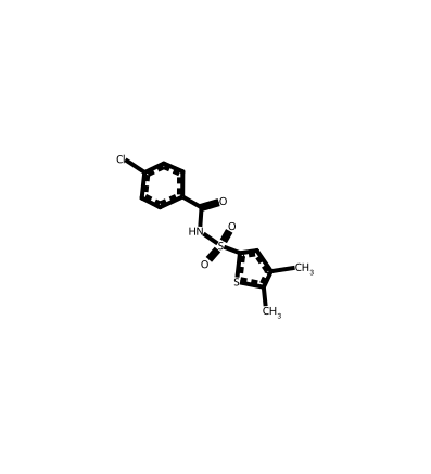 Cc1cc(S(=O)(=O)NC(=O)c2ccc(Cl)cc2)sc1C